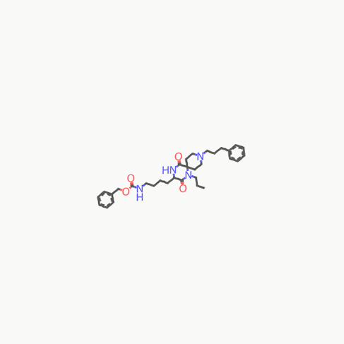 CCCN1C(=O)C(CCCCNC(=O)OCc2ccccc2)NC(=O)C12CCN(CCCc1ccccc1)CC2